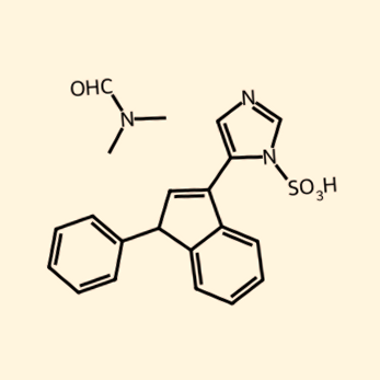 CN(C)C=O.O=S(=O)(O)n1cncc1C1=CC(c2ccccc2)c2ccccc21